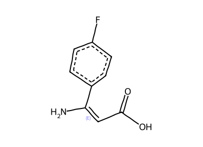 N/C(=C/C(=O)O)c1ccc(F)cc1